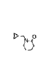 O=C1CCCCN1CC1CC1